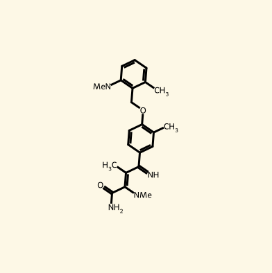 CN/C(C(N)=O)=C(/C)C(=N)c1ccc(OCc2c(C)cccc2NC)c(C)c1